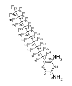 Nc1ccc(C(F)(F)C(F)(F)C(F)(F)C(F)(F)C(F)(F)C(F)(F)C(F)(F)C(F)(F)C(F)(F)C(F)(F)F)c(N)c1